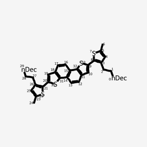 CCCCCCCCCCCCc1cc(C)sc1-c1cc2ccc3c(ccc4cc(-c5sc(C)cc5CCCCCCCCCCCC)sc43)c2s1